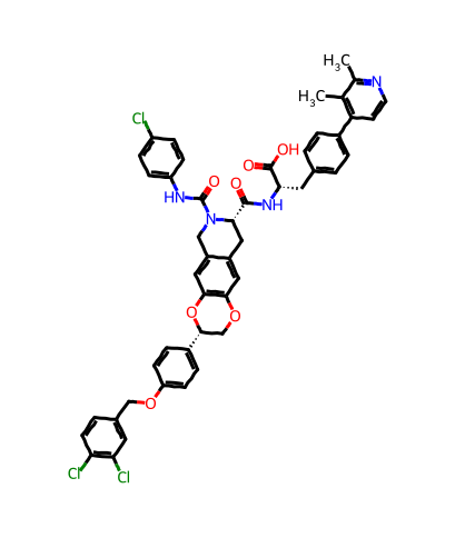 Cc1nccc(-c2ccc(C[C@H](NC(=O)[C@@H]3Cc4cc5c(cc4CN3C(=O)Nc3ccc(Cl)cc3)O[C@@H](c3ccc(OCc4ccc(Cl)c(Cl)c4)cc3)CO5)C(=O)O)cc2)c1C